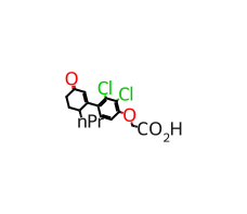 CCCC1CCC(=O)C=C1c1ccc(OCC(=O)O)c(Cl)c1Cl